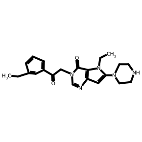 CCc1cccc(C(=O)Cn2cnc3cc(N4CCNCC4)n(CC)c3c2=O)c1